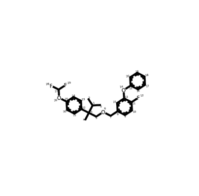 CC(C)C(C)(COCc1ccc(F)c(Oc2ccccc2)c1)c1ccc(OC(F)F)cc1